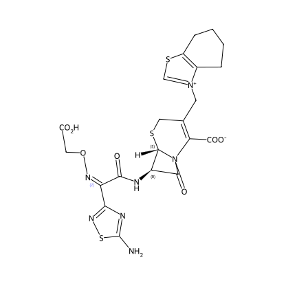 Nc1nc(/C(=N/OCC(=O)O)C(=O)N[C@@H]2C(=O)N3C(C(=O)[O-])=C(C[n+]4csc5c4CCCC5)CS[C@@H]23)ns1